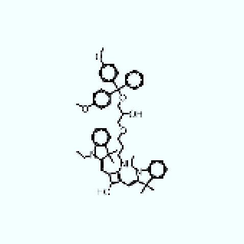 CCN1C(=CC2=C(NCCCOCC(O)COC(c3ccccc3)(c3ccc(OC)cc3)c3ccc(OC)cc3)C(C=C3N(CC)c4ccccc4C3(C)C)C2O)C(C)(C)c2ccccc21